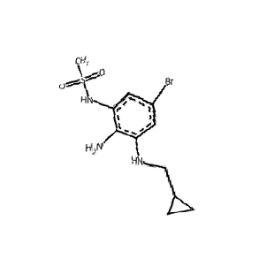 CS(=O)(=O)Nc1cc(Br)cc(NCC2CC2)c1N